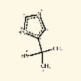 CCCC(C)(C)c1cnc[nH]1